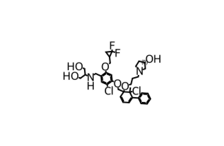 CC1(Cl)C(c2ccccc2)=CC=CC1(COc1cc(OCC2CC2(F)F)c(CNC(CO)CO)cc1Cl)OCCCN1CC[C@@H](O)C1